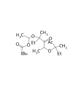 CCC(C)(OC(C)C(=O)C(C)(CC)OC(C)OC(=O)C(C)(C)C)C(C)=O